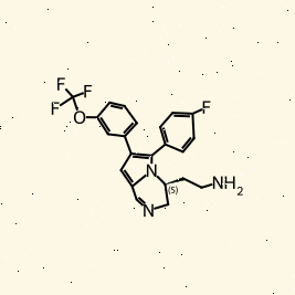 NCC[C@H]1CN=Cc2cc(-c3cccc(OC(F)(F)F)c3)c(-c3ccc(F)cc3)n21